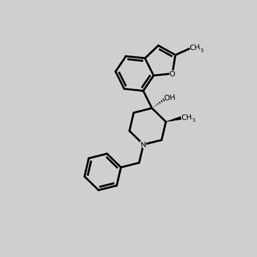 Cc1cc2cccc([C@]3(O)CCN(Cc4ccccc4)C[C@@H]3C)c2o1